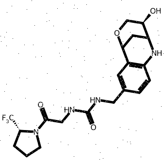 O=C(NCC(=O)N1CCC[C@@H]1C(F)(F)F)NCc1ccc2c(c1)C1CC(N2)[C@H](O)CO1